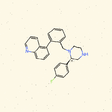 Fc1ccc([C@@H]2CNCCN2Cc2ccccc2-c2cccc3ncccc23)cc1